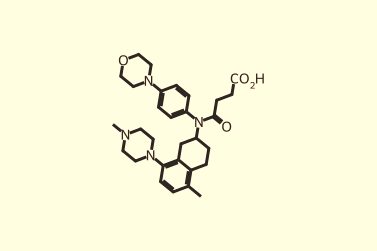 Cc1ccc(N2CCN(C)CC2)c2c1CCC(N(C(=O)CCC(=O)O)c1ccc(N3CCOCC3)cc1)C2